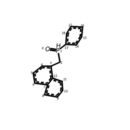 O=[PH](Cc1cccc2ccccc12)c1ccccc1